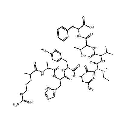 CC[C@@H](C)C(NC(=O)C(CC(N)=O)NC(=O)C(Cc1ccc(O)cc1)NC(=O)C(Cc1cnc[nH]1)NC(=O)C(C)NC(=O)C(C)CCCNC(=N)N)C(=O)NC(C(=O)NC(C(=O)NC(Cc1ccccc1)C(=O)O)C(C)O)C(C)C